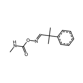 CNC(=O)O/N=C/C(C)(C)c1ccccc1